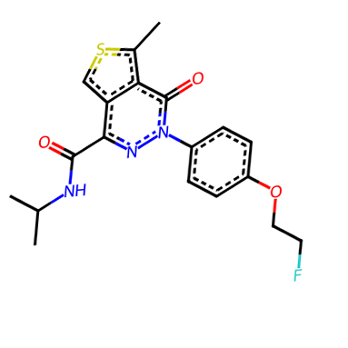 Cc1scc2c(C(=O)NC(C)C)nn(-c3ccc(OCCF)cc3)c(=O)c12